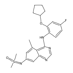 Cc1cc(N=S(C)(C)=O)cc2ncnc(Nc3ccc(F)cc3OC3CCCC3)c12